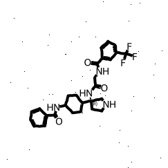 O=C(CNC(=O)c1cccc(C(F)(F)F)c1)N[C@@]1(C2CCC(NC(=O)c3ccccc3)CC2)CCNC1